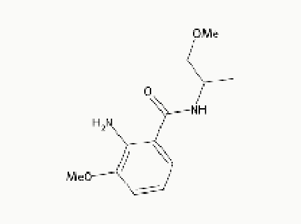 COCC(C)NC(=O)c1cccc(OC)c1N